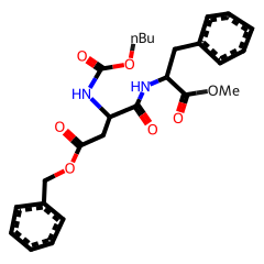 CCCCOC(=O)NC(CC(=O)OCc1ccccc1)C(=O)NC(Cc1ccccc1)C(=O)OC